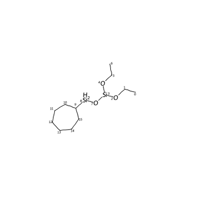 CCO[Si](OCC)O[SiH2]C1CCCCCC1